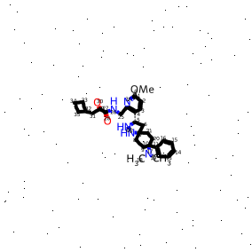 COc1ccc([C@@H]2CC3(CCC(c4ccccc4)(N(C)C)CC3)NN2)c(CNC(=O)C(=O)CC2CCC2)n1